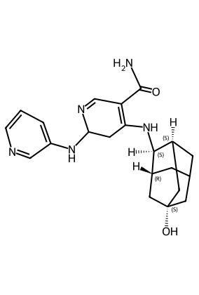 NC(=O)C1=C(N[C@@H]2[C@@H]3CC4C[C@H]2C[C@@](O)(C4)C3)CC(Nc2cccnc2)N=C1